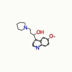 COc1ccc2nccc(C(O)CCN3CCCCC3)c2c1